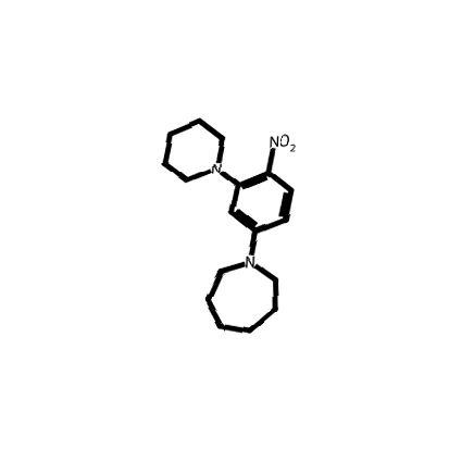 O=[N+]([O-])c1ccc(N2CCCCCC2)cc1N1CCCCC1